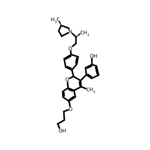 CC1=C(c2cccc(O)c2)C(c2ccc(OC[C@H](C)N3CC[C@@H](C)C3)cc2)Oc2ccc(OCCCO)cc21